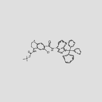 CC(C)(C)OC(=O)N[C@H]1CCSc2cc(C(=O)Nc3ccnc4c3cnn4C(c3ccccc3)(c3ccccc3)c3ccccc3)c(Cl)cc21